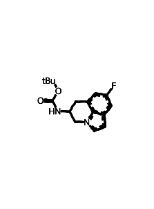 CC(C)(C)OC(=O)NC1Cc2cc(F)cc3ccn(c23)C1